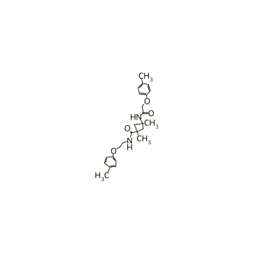 Cc1ccc(OCCNC(=O)C2(C)CC(C)(NC(=O)COc3ccc(C)cc3)C2)cc1